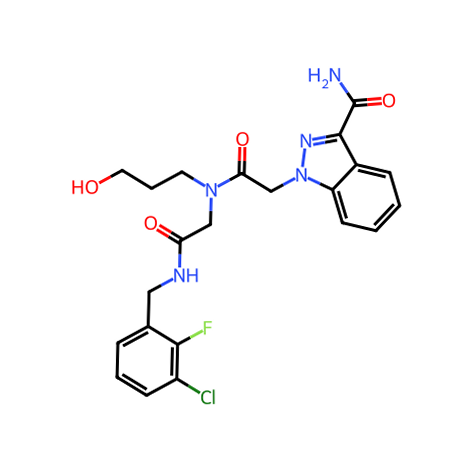 NC(=O)c1nn(CC(=O)N(CCCO)CC(=O)NCc2cccc(Cl)c2F)c2ccccc12